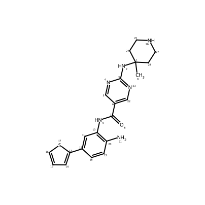 CC1(Nc2ncc(C(=O)Nc3cc(-c4cccs4)ccc3N)cn2)CCNCC1